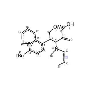 C=C(CO)C(C(COC)c1ccc(C(C)(C)C)c2ccccc12)N(C)/C=C\C